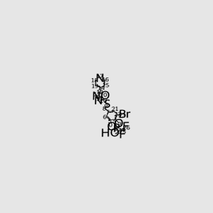 O=P(O)(Oc1ccc(CSc2nnc(-c3ccncc3)o2)cc1Br)C(F)F